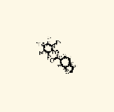 O=C(Oc1c(F)c(F)c(F)c(F)c1F)c1ccc2ccoc2c1